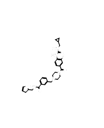 O=C(NCC1CC1)Nc1ccc(C(=O)N2CCN(Cc3cccc(C(=O)NCC4CC=CO4)c3)CC2)cc1F